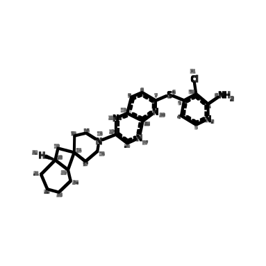 Nc1nccc(Sc2ccc3nc(N4CCC5(CC4)C[C@H]4CCCCC45)cnc3n2)c1Cl